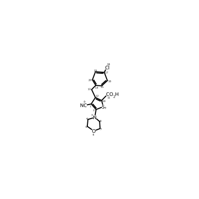 N#Cc1c(N2CCOCC2)sc(C(=O)O)c1Cc1ccc(Cl)cc1